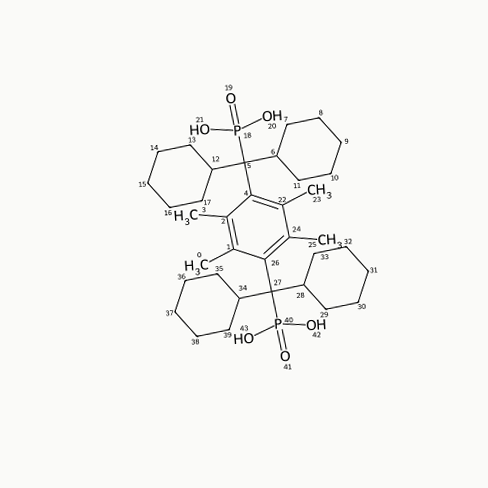 Cc1c(C)c(C(C2CCCCC2)(C2CCCCC2)P(=O)(O)O)c(C)c(C)c1C(C1CCCCC1)(C1CCCCC1)P(=O)(O)O